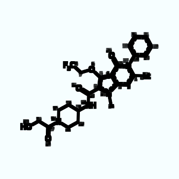 CCc1cc2c(c(OCC(F)(F)F)c(C(=O)NC3CCN(C(=O)CO)CC3)n2C)c(=O)n1-c1ccccc1